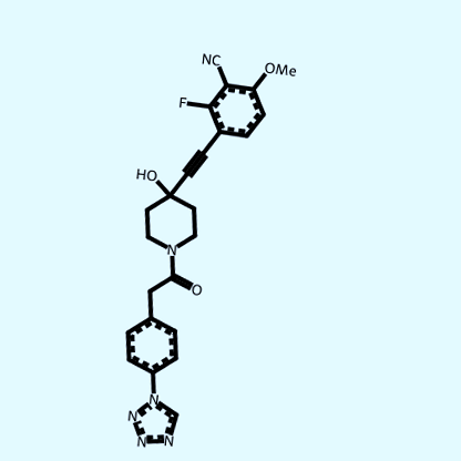 COc1ccc(C#CC2(O)CCN(C(=O)Cc3ccc(-n4cnnn4)cc3)CC2)c(F)c1C#N